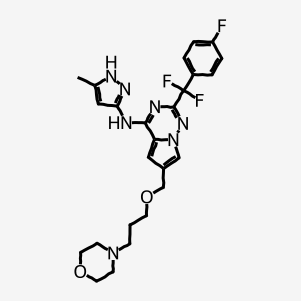 Cc1cc(Nc2nc(C(F)(F)c3ccc(F)cc3)nn3cc(COCCCN4CCOCC4)cc23)n[nH]1